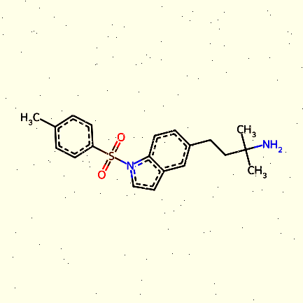 Cc1ccc(S(=O)(=O)n2ccc3cc(CCC(C)(C)N)ccc32)cc1